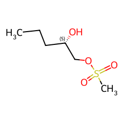 CCC[C@H](O)COS(C)(=O)=O